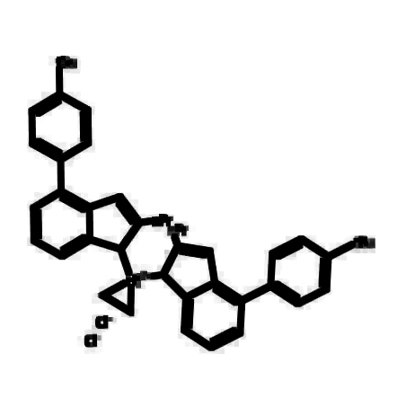 CCCC1=Cc2c(-c3ccc(C(C)(C)C)cc3)cccc2[CH]1[Hf+2]1([CH]2C(CCC)=Cc3c(-c4ccc(C(C)(C)C)cc4)cccc32)[CH2][CH2]1.[Cl-].[Cl-]